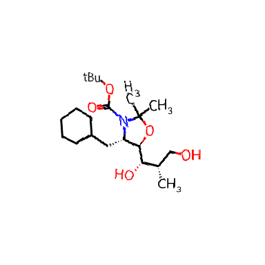 C[C@@H](CO)[C@H](O)[C@@H]1OC(C)(C)N(C(=O)OC(C)(C)C)[C@H]1CC1CCCCC1